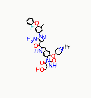 Cc1cc(-n2ncc(C(=O)c3cc4cc(OC5CCN(C(C)C)CC5)c(N5C(=O)NC(CO)C5=O)cc4[nH]3)c2N)ccc1Oc1ccccc1F